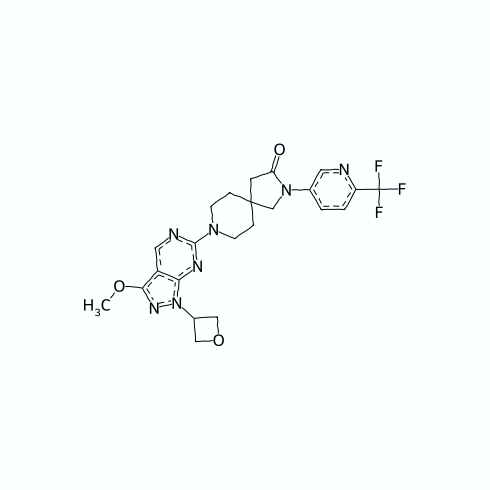 COc1nn(C2COC2)c2nc(N3CCC4(CC3)CC(=O)N(c3ccc(C(F)(F)F)nc3)C4)ncc12